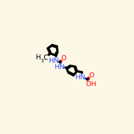 Cc1ccccc1NC(=O)Nc1ccc(CNC(=O)O)cc1